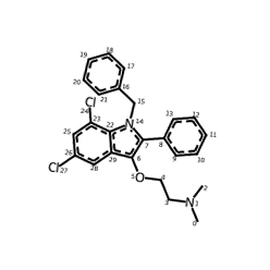 CN(C)CCOc1c(-c2ccccc2)n(Cc2ccccc2)c2c(Cl)cc(Cl)cc12